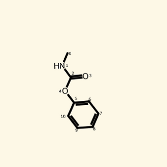 [CH2]NC(=O)Oc1ccccc1